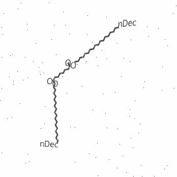 CCCCCCCCCCCCCCCCCCCCCCCCCCCCOC(=O)CCCCCCC(=O)OCCCCCCCCCCCCCCCCCCCCCCCCCCCC